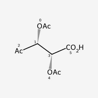 CC(=O)O[C@@H](C(C)=O)[C@@H](OC(C)=O)C(=O)O